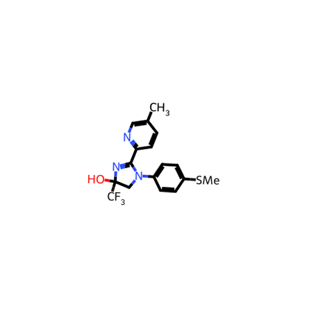 CSc1ccc(N2CC(O)(C(F)(F)F)N=C2c2ccc(C)cn2)cc1